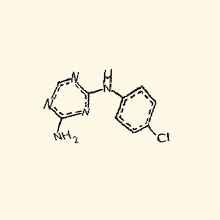 Nc1ncnc(Nc2ccc(Cl)cc2)n1